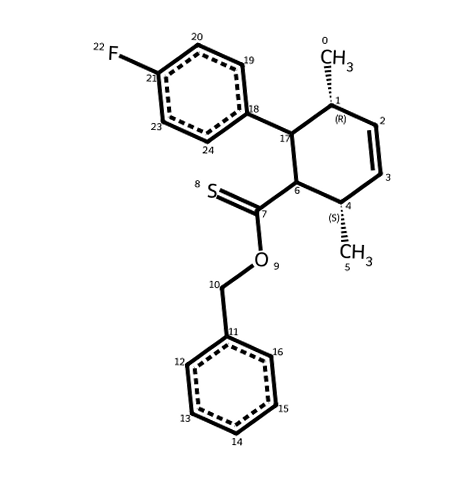 C[C@@H]1C=C[C@H](C)C(C(=S)OCc2ccccc2)C1c1ccc(F)cc1